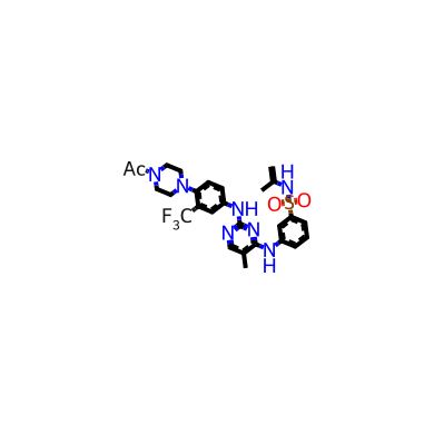 C=C(C)NS(=O)(=O)c1cccc(Nc2nc(Nc3ccc(N4CCN(C(C)=O)CC4)c(C(F)(F)F)c3)ncc2C)c1